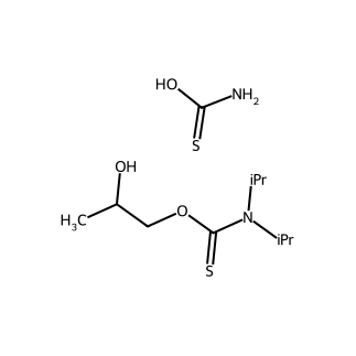 CC(O)COC(=S)N(C(C)C)C(C)C.NC(O)=S